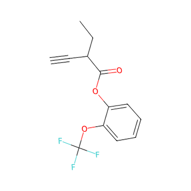 C#CC(CC)C(=O)Oc1ccccc1OC(F)(F)F